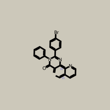 C=c1c(=O)n(-c2ccccc2)c(-c2ccc(Br)cc2)n/c1=c1\nccc\c1=C\C